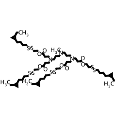 CCC1CC1CCCCSSCCOC(=O)CCN(CCCN(C)CCCN(CCC(=O)OCCSSCCCCC1CC1CC)CCC(=O)OCCSSCCCCC1CC1CC)CCC(=O)OCCSSCCCCC1CC1CC